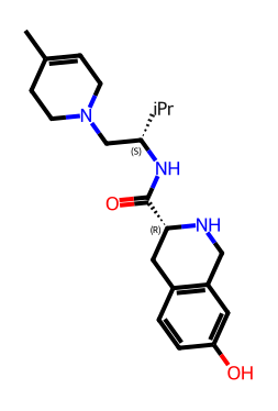 CC1=CCN(C[C@@H](NC(=O)[C@H]2Cc3ccc(O)cc3CN2)C(C)C)CC1